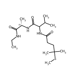 CCNC(=O)[C@H](C)NC(=O)C(NC(=O)CCC(C)(C)SC)C(C)C